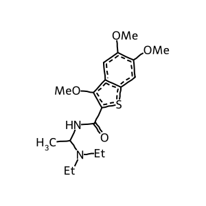 CCN(CC)C(C)NC(=O)c1sc2cc(OC)c(OC)cc2c1OC